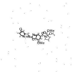 COC(=O)C1(C)CCCN1C(=O)c1cc(OC)c2oc(NCc3cc(Cl)ccn3)nc2c1